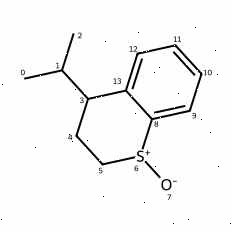 CC(C)C1CC[S+]([O-])c2ccccc21